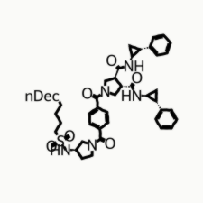 CCCCCCCCCCCCCCS(=O)(=O)N[C@@H]1CCN(C(=O)c2ccc(C(=O)N3C[C@@H](C(=O)N[C@H]4C[C@@H]4c4ccccc4)[C@H](C(=O)N[C@H]4C[C@@H]4c4ccccc4)C3)cc2)C1